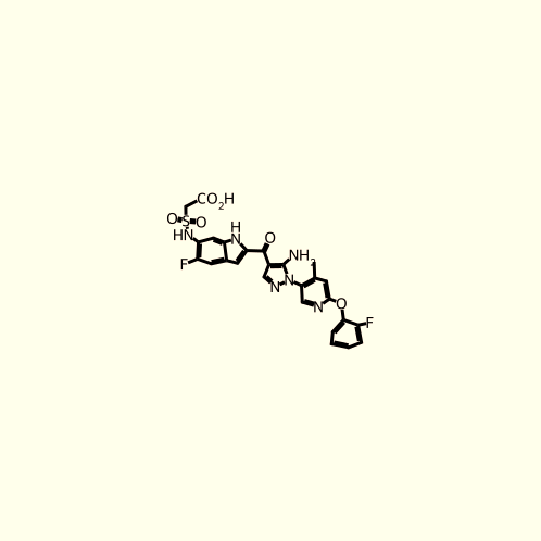 Cc1cc(Oc2ccccc2F)ncc1-n1ncc(C(=O)c2cc3cc(F)c(NS(=O)(=O)CC(=O)O)cc3[nH]2)c1N